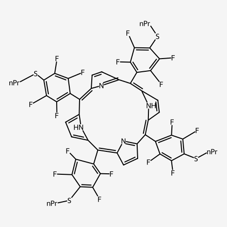 CCCSc1c(F)c(F)c(-c2c3nc(c(-c4c(F)c(F)c(SCCC)c(F)c4F)c4ccc([nH]4)c(-c4c(F)c(F)c(SCCC)c(F)c4F)c4nc(c(-c5c(F)c(F)c(SCCC)c(F)c5F)c5ccc2[nH]5)C=C4)C=C3)c(F)c1F